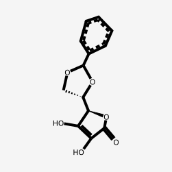 O=C1O[C@H]([C@@H]2COC(c3ccccc3)O2)C(O)=C1O